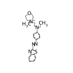 CCN(CC[N+]1(C)CCOCC1)c1ccc(/N=N/c2nc3ccccc3s2)cc1